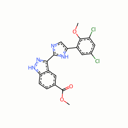 COC(=O)c1ccc2[nH]nc(-c3ncc(-c4cc(Cl)cc(Cl)c4OC)[nH]3)c2c1